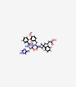 COc1ccc(C[C@H](NC(=O)[C@H](Cc2c[nH]cn2)NC(=O)c2ccccc2)C(=O)N2CC(CCCC(=O)O)(c3ccccc3)C2)cc1